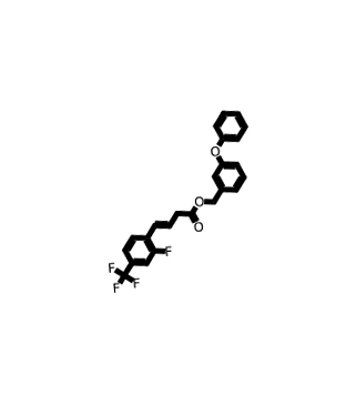 O=C(CC=Cc1ccc(C(F)(F)F)cc1F)OCc1cccc(Oc2ccccc2)c1